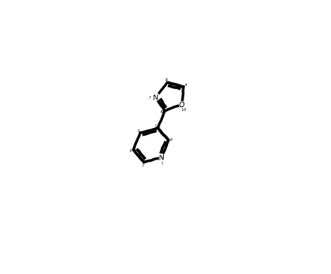 [c]1ncccc1-c1ncco1